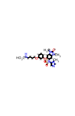 Cn1cncc1N(c1cc2c(cc1Oc1cccc(OCCCCNC(=O)O)c1)n(C)c(=O)n2C)[SH](=O)=O